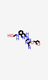 N#Cc1ncc(Nc2cc3cccc(NCCO)c3cn2)nc1OCC1CCOC1